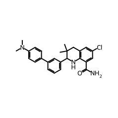 CN(C)c1ccc(-c2cccc(C3Nc4c(cc(Cl)cc4C(N)=O)CC3(C)C)c2)cc1